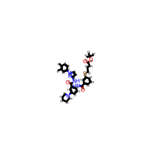 Cc1ccc(-n2ccc(NC(=O)c3cc(N4CCCCC4)ccc3NC(=O)c3cccc(SCCCC(=O)OC(C)(C)C)c3)n2)cc1C